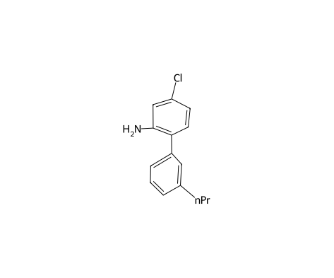 CCCc1cccc(-c2ccc(Cl)cc2N)c1